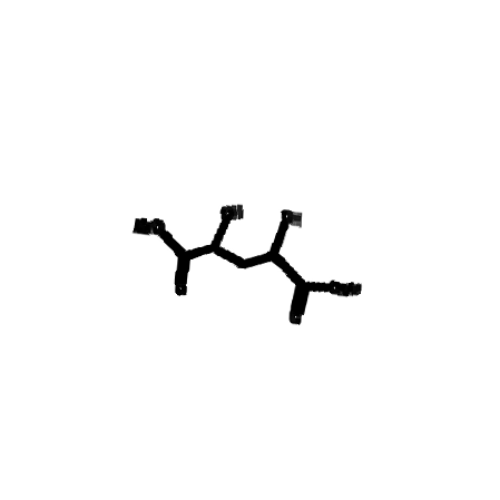 COC(=O)C(O)CC(O)C(=O)OC